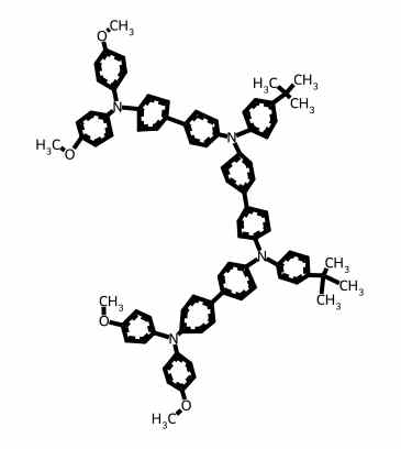 COc1ccc(N(c2ccc(OC)cc2)c2ccc(-c3ccc(N(c4ccc(-c5ccc(N(c6ccc(-c7ccc(N(c8ccc(OC)cc8)c8ccc(OC)cc8)cc7)cc6)c6ccc(C(C)(C)C)cc6)cc5)cc4)c4ccc(C(C)(C)C)cc4)cc3)cc2)cc1